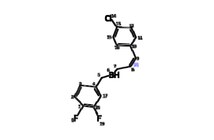 Fc1ccc(CBC/C=C\c2ccc(Cl)cc2)cc1F